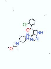 COC1CN([C@H]2CC[C@H](Nc3ncnc4[nH]cc(C(=O)c5ccccc5Cl)c34)CC2)C1